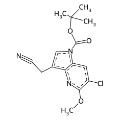 COc1nc2c(CC#N)cn(C(=O)OC(C)(C)C)c2cc1Cl